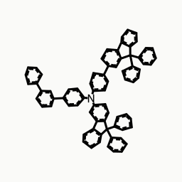 c1ccc(-c2cccc(-c3ccc(N(c4ccc(-c5ccc6c(c5)C(c5ccccc5)(c5ccccc5)c5ccccc5-6)cc4)c4ccc5c(c4)-c4ccccc4C5(c4ccccc4)c4ccccc4)cc3)c2)cc1